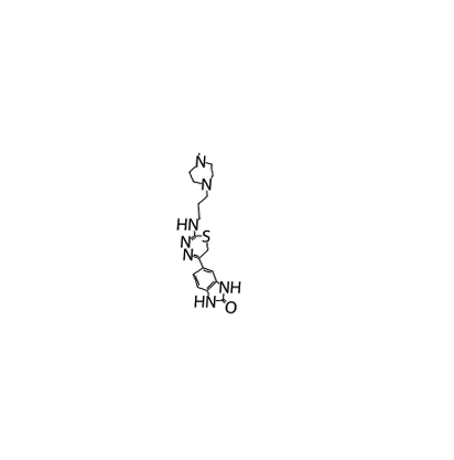 CN1CCN(CCCNC2=NN=C(c3ccc4[nH]c(=O)[nH]c4c3)CS2)CC1